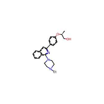 CCN1CCN(c2nc(-c3ccc(O[C@@H](C)CO)cc3)cc3ccccc23)CC1